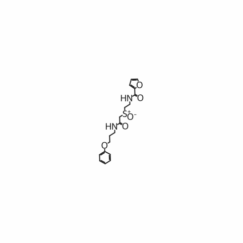 O=C(C[S+]([O-])CCNC(=O)c1ccco1)NCCCOc1ccccc1